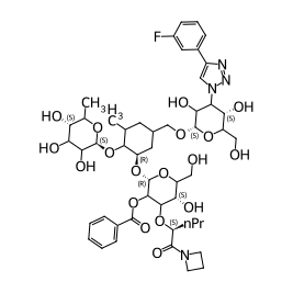 CCC[C@H](OC1C(OC(=O)c2ccccc2)[C@H](O[C@@H]2CC(CO[C@H]3OC(CO)[C@@H](O)C(n4cc(-c5cccc(F)c5)nn4)C3O)CC(C)C2O[C@@H]2OC(C)[C@@H](O)C(O)C2O)OC(CO)[C@@H]1O)C(=O)N1CCC1